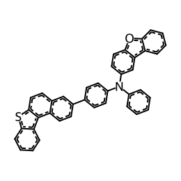 c1ccc(N(c2ccc(-c3ccc4c(ccc5sc6ccccc6c54)c3)cc2)c2ccc3oc4ccccc4c3c2)cc1